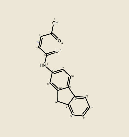 O=C(O)/C=C\C(=O)Nc1ccc2c(c1)Cc1ccccc1-2